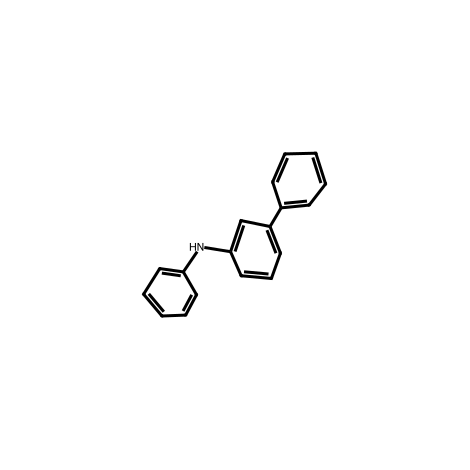 c1ccc(Nc2cccc(-c3ccccc3)c2)cc1